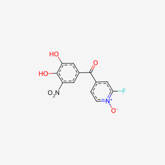 O=C(c1cc(O)c(O)c([N+](=O)[O-])c1)c1cc[n+]([O-])c(F)c1